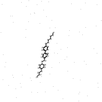 CCCCCCCc1ccc(-c2ccc(CC[C@H]3CC[C@H](CCCC)CC3)cn2)cc1